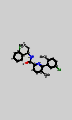 COc1ccc(Cl)cc1-c1nc(C(=O)NC(CC(=O)O)c2ccccc2F)ccc1OC